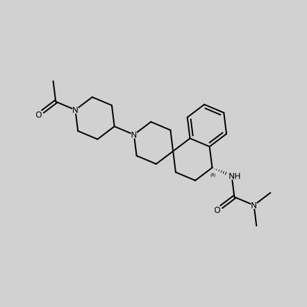 CC(=O)N1CCC(N2CCC3(CC[C@@H](NC(=O)N(C)C)c4ccccc43)CC2)CC1